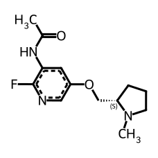 CC(=O)Nc1cc(OC[C@@H]2CCCN2C)cnc1F